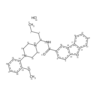 CCCC(NC(=O)c1ccc2oc3ccccc3c2c1)N1CCN(c2ccccc2OC)CC1.Cl